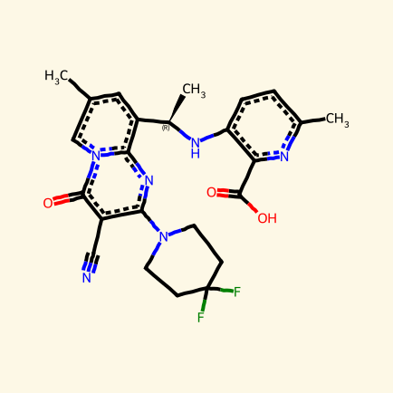 Cc1cc([C@@H](C)Nc2ccc(C)nc2C(=O)O)c2nc(N3CCC(F)(F)CC3)c(C#N)c(=O)n2c1